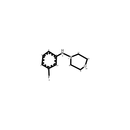 Fc1cccc(NN2CCOCC2)c1